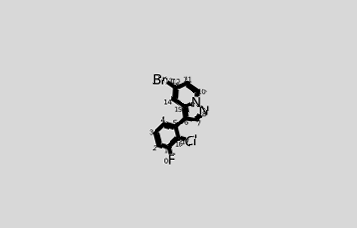 Fc1cccc(-c2cnn3ccc(Br)cc23)c1Cl